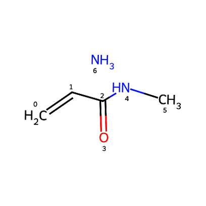 C=CC(=O)NC.N